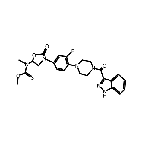 COC(=S)N(C)C1CN(c2ccc(N3CCN(C(=O)c4n[nH]c5ccccc45)CC3)c(F)c2)C(=O)O1